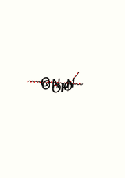 CCCCCCCCCCCOC(=O)CCCCCN(CCO)CCCCCCCC(=O)N(CCCCCCCC)CCCCCCCC